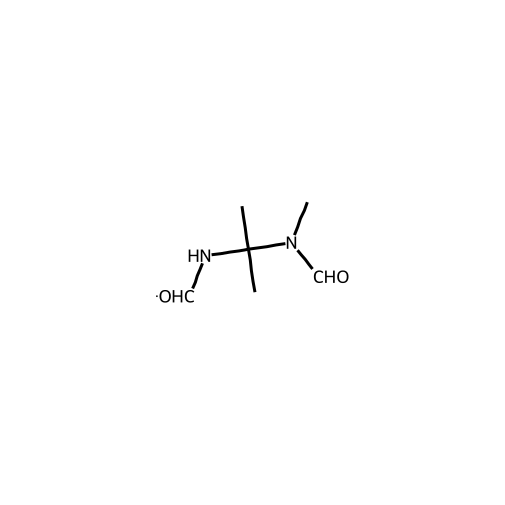 CN(C=O)C(C)(C)N[C]=O